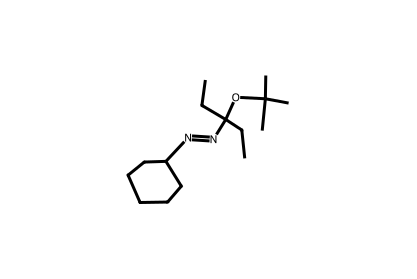 CCC(CC)(N=NC1CCCCC1)OC(C)(C)C